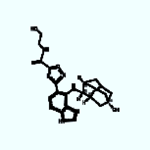 O=C(NCCO)c1nc(-c2cnc3[nH]cnc3c2N[C@H]2[C@@H]3CC4C[C@H]2C[C@@](O)(C4)C3)no1